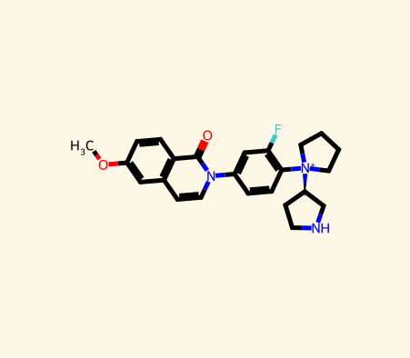 COc1ccc2c(=O)n(-c3ccc([N+]4([C@@H]5CCNC5)CCCC4)c(F)c3)ccc2c1